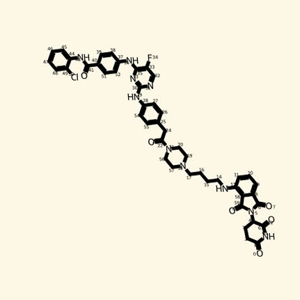 O=C1CCC(N2C(=O)c3cccc(NCCCCN4CCN(C(=O)Cc5ccc(Nc6ncc(F)c(Nc7ccc(C(=O)Nc8ccccc8Cl)cc7)n6)cc5)CC4)c3C2=O)C(=O)N1